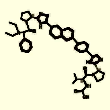 CCN(CC)C(C(=O)N1CCC[C@H]1c1ncc(-c2ccc3cc(-c4ccc(-c5cnc([C@@H]6CCCN6C(=O)[C@@H](NC(=O)O)C(C)C)[nH]5)cc4)ccc3c2)[nH]1)c1ccccc1